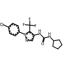 O=C(Nc1cnn(-c2ccc(Cl)cc2)c1C(F)(F)F)NC1CCCC1